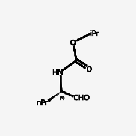 CCC[C@@H](C=O)NC(=O)OC(C)C